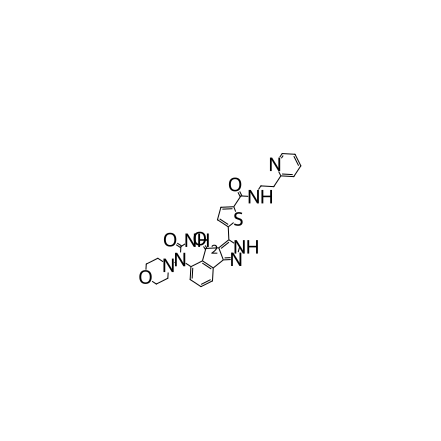 NC(=O)N(c1cccc2c1C(=O)c1c-2n[nH]c1-c1ccc(C(=O)NCCc2ccccn2)s1)N1CCOCC1